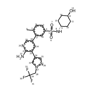 Cc1ccc(S(=O)(=O)N[C@H]2CC[C@H](O)CC2)cc1-c1cnc(N)c(-c2cnn(CC(F)(F)F)c2)c1